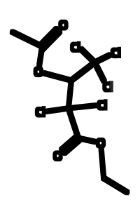 CCOC(=O)C(Cl)(Cl)C(OC(C)=O)C(Cl)(Cl)Cl